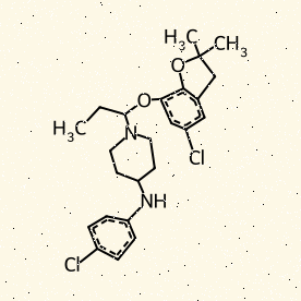 CCC(Oc1cc(Cl)cc2c1OC(C)(C)C2)N1CCC(Nc2ccc(Cl)cc2)CC1